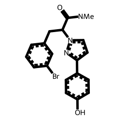 CNC(=O)C(Cc1cccc(Br)c1)n1ccc(-c2ccc(O)cc2)n1